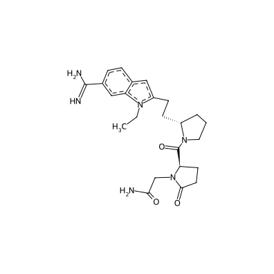 CCn1c(CC[C@@H]2CCCN2C(=O)[C@H]2CCC(=O)N2CC(N)=O)cc2ccc(C(=N)N)cc21